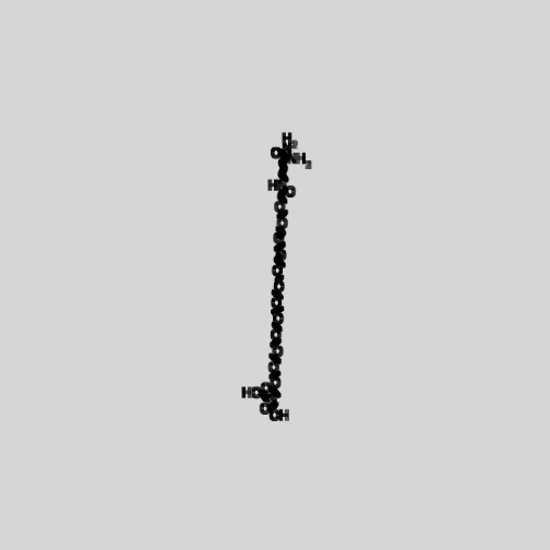 NC(=O)[C@@H](N)CCCCNC(=O)CCOCCOCCOCCOCCOCCOCCOCCOCCOCCOCCOCCOCCN(CC(=O)O)CC(=O)O